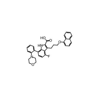 O=C(O)c1[nH]c2c(-c3ccccc3N3CCOCC3)ccc(F)c2c1CCCOc1cccc2ccccc12